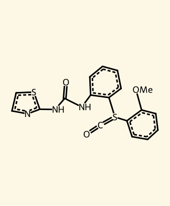 COc1ccccc1S(=C=O)c1ccccc1NC(=O)Nc1nccs1